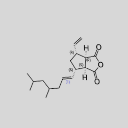 C=C[C@H]1C[C@@H](/C=C/CC(C)CC(C)C)[C@@H]2C(=O)OC(=O)[C@@H]21